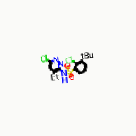 CCc1cc(Cl)nnc1NS(=O)(=O)c1cccc(C(C)(C)C)c1Cl